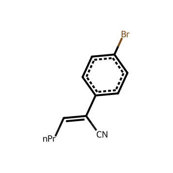 CCC/C=C(\C#N)c1ccc(Br)cc1